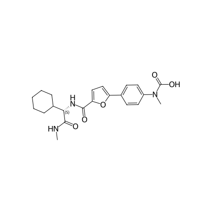 CNC(=O)[C@@H](NC(=O)c1ccc(-c2ccc(N(C)C(=O)O)cc2)o1)C1CCCCC1